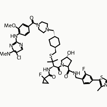 CNc1nc(Nc2ccc(C(=O)N3CCN(C[C@H]4CC[C@H](CSC(C)(C)[C@H](NC(=O)C5(F)CC5)C(=O)N5C[C@H](O)CC5C(=O)NCc5ccc(-c6scnc6C)cc5F)CC4)CC3)cc2OC)ncc1Cl